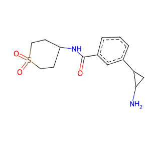 NC1CC1c1cccc(C(=O)NC2CCS(=O)(=O)CC2)c1